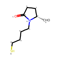 O=C[C@H]1CCC(=O)N1CCCCS